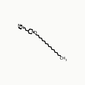 CCCCCCCCCCCCCCCCCON1CCC(CCn2ccnc2)CC1